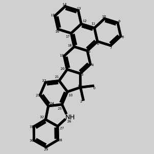 CC1(C)c2cc3c4ccccc4c4ccccc4c3cc2-c2ccc3c([nH]c4ccccc43)c21